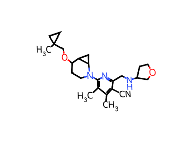 Cc1c(N2CCC(OCC3(C)CC3)C3CC32)nc(CNC2CCOC2)c(C#N)c1C